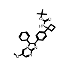 COC1=CN2C(=NC(c3ccc(C4(NC(=O)OC(C)(C)C)CCC4)cc3)C2C2C=CC=CC2)N=C1